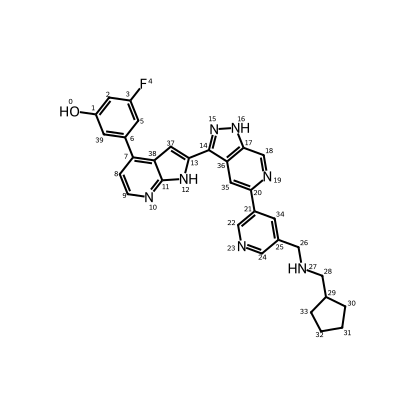 Oc1cc(F)cc(-c2ccnc3[nH]c(-c4n[nH]c5cnc(-c6cncc(CNCC7CCCC7)c6)cc45)cc23)c1